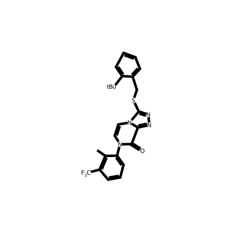 Cc1c(-n2ccn3c(SCc4ccccc4C(C)(C)C)nnc3c2=O)cccc1C(F)(F)F